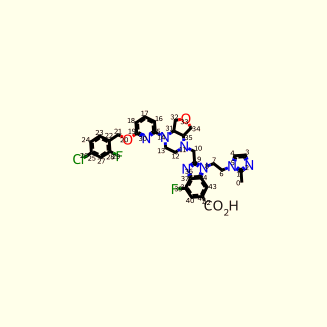 Cc1nccn1CCn1c(CN2CCN(c3cccc(OCc4ccc(Cl)cc4F)n3)C3COCC32)nc2c(F)cc(C(=O)O)cc21